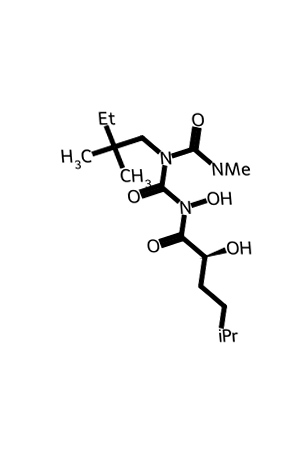 CCC(C)(C)CN(C(=O)NC)C(=O)N(O)C(=O)[C@@H](O)CCC(C)C